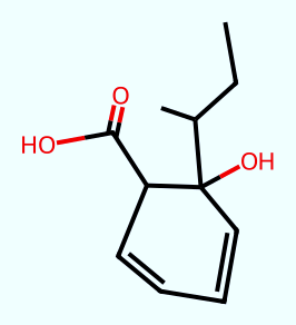 CCC(C)C1(O)C=CC=CC1C(=O)O